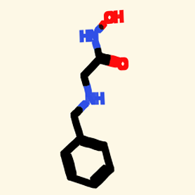 O=C(CNCc1ccccc1)NO